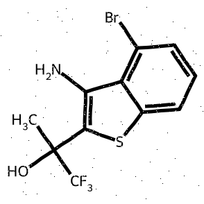 CC(O)(c1sc2cccc(Br)c2c1N)C(F)(F)F